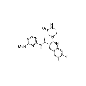 CNc1ncnc(NC(C)c2cc3cc(C)c(F)cc3nc2N2CCNC(=O)C2)n1